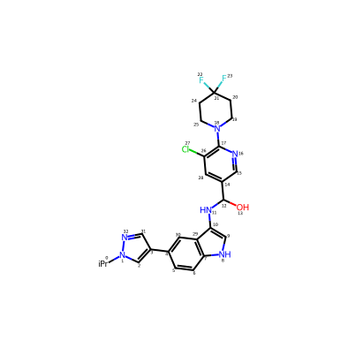 CC(C)n1cc(-c2ccc3[nH]cc(NC(O)c4cnc(N5CCC(F)(F)CC5)c(Cl)c4)c3c2)cn1